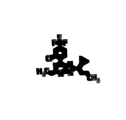 CCCC(c1nc2nn(CC)nc(-c3ccc(C(F)(F)F)cc3Cl)c-2n1)C1CC1